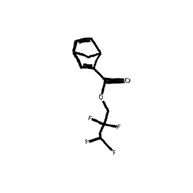 O=C(OCC(F)(F)C(F)F)C1=CC2C=CC1C2